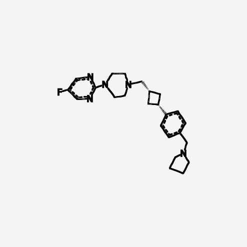 Fc1cnc(N2CCN(C[C@H]3C[C@@H](c4ccc(CN5CCCC5)cc4)C3)CC2)nc1